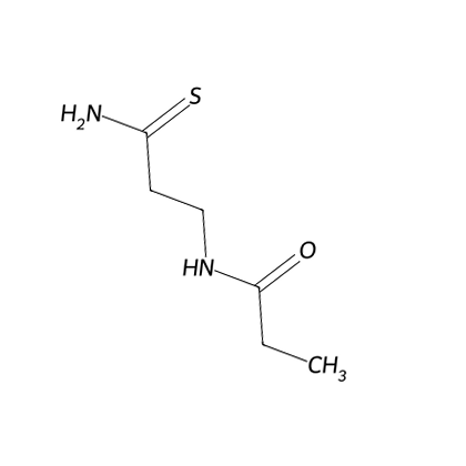 CCC(=O)NCCC(N)=S